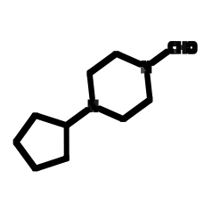 O=CN1CCN(C2CCCC2)CC1